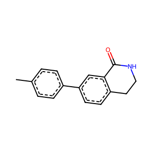 Cc1ccc(-c2ccc3c(c2)C(=O)NCC3)cc1